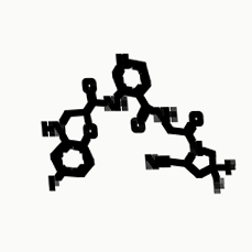 N#CC1CC(F)(F)CN1C(=O)CNC(=O)c1ccncc1NC(=O)C1CNc2cc(F)ccc2O1